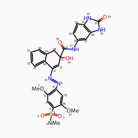 CNS(=O)(=O)c1cc(OC)c(N=NC2=CC(O)(C(=O)Nc3ccc4[nH]c(=O)[nH]c4c3)Cc3ccccc32)cc1OC